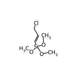 CO[Si](C=CCCl)(OC)OC